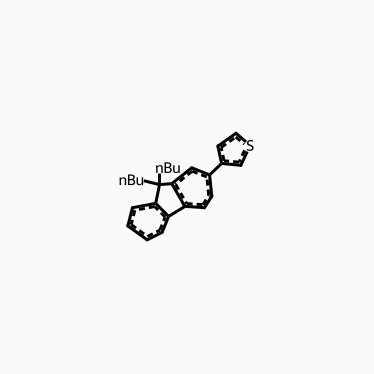 CCCCC1(CCCC)c2ccccc2-c2ccc(-c3ccsc3)cc21